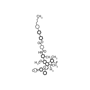 CCCCCC1CCC(c2ccc(-c3ccc(OC(=O)C4CCC(C(=O)Nc5ccc(-c6cc7c8c(c9c(c7cc6OC)OC(c6ccccc6)(c6ccc(N7CCOCC7)cc6)C=C9)C(C)(C)c6c(CF)cc(C)cc6-8)c(C)c5)CC4)cc3)cc2)CC1